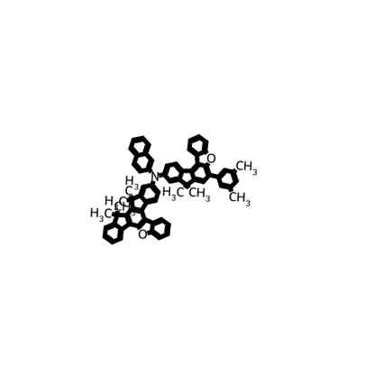 Cc1cc(C)cc(-c2cc3c(c4c2oc2ccccc24)-c2ccc(N(c4ccc5c(c4)C(C)(C)c4c6c(c7oc8ccccc8c7c4-5)-c4ccccc4C6(C)C)c4ccc5ccccc5c4)cc2C3(C)C)c1